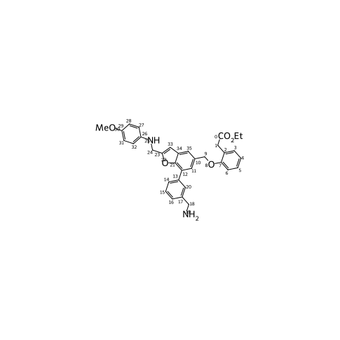 CCOC(=O)Cc1ccccc1OCc1cc(-c2cccc(CN)c2)c2oc(CNc3ccc(OC)cc3)cc2c1